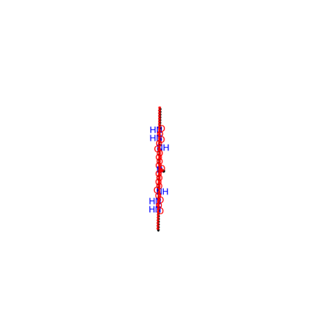 CCCCCCCCCCCCCCCC(=O)NCCOCCNC(=O)CCOCCNC(=O)CCOCCOCCOCCOCCN(CCOCCOCCOCCOCCC(=O)NCCOCCC(=O)NCCOCCNC(=O)CCCCCCCCCCCCCCC)C(=O)CC(C)C